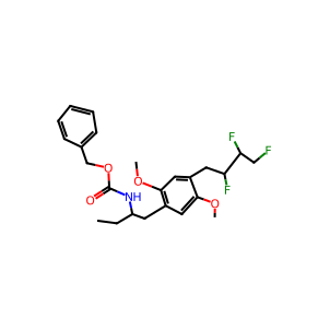 CCC(Cc1cc(OC)c(CC(F)C(F)CF)cc1OC)NC(=O)OCc1ccccc1